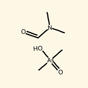 CN(C)C=O.C[As](C)(=O)O